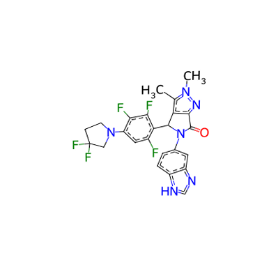 Cc1c2c(nn1C)C(=O)N(c1ccc3[nH]cnc3c1)C2c1c(F)cc(N2CCC(F)(F)C2)c(F)c1F